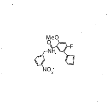 COc1cc(F)c(-c2ccccc2)cc1C(=O)NCc1cccc([N+](=O)[O-])c1